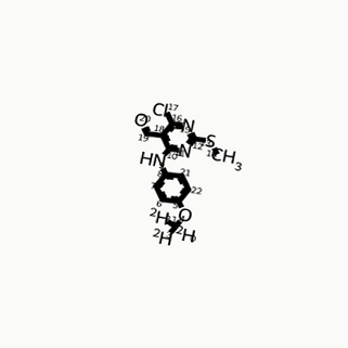 [2H]C([2H])([2H])Oc1ccc(Nc2nc(SC)nc(Cl)c2C=O)cc1